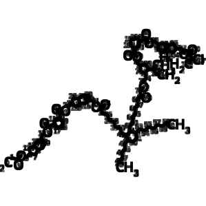 C=CC(=O)OCC1CC2C3CC(COC(=O)c4cccc(C(=O)OCC5CC6C7CC(COC(=O)CCCCCCCC8C(CCCCCC)CCC(CCCCCCCC)C8CCCCCCCC(=O)COCCC8CC(COC(=O)C9C=C(C(=O)OCC%10C[C@@H]%11CC%10C%10CC(COC(=O)C(=C)C)CC%10%11)C=CC9)CC8C(C)C=C)C(C7)C6C5)c4)C(C3)C2C1